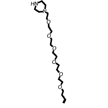 C=CCCOCCOCCOCCOCCOCCOCCN1CCNCC1